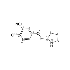 N#Cc1cc(OC[C@@H]2CCCN2)cnc1Cl